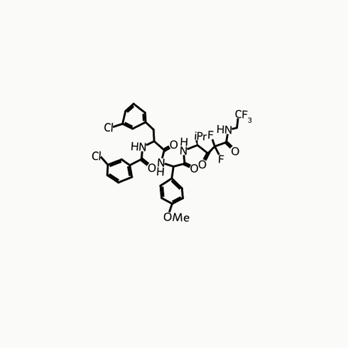 COc1ccc(C(NC(=O)C(Cc2cccc(Cl)c2)NC(=O)c2cccc(Cl)c2)C(=O)N[C@H](C(=O)C(F)(F)C(=O)NCC(F)(F)F)C(C)C)cc1